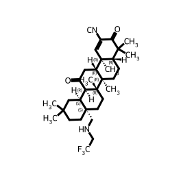 [C-]#[N+]C1=C[C@]2(C)[C@H]3CC(=O)[C@@H]4[C@@H]5CC(C)(C)CC[C@]5(CNCC(F)(F)F)CC[C@@]4(C)[C@]3(C)CC[C@H]2C(C)(C)C1=O